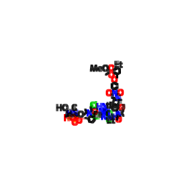 CC1COc2ccccc2N1C(=O)C(Cl)Cl.CCNc1nc(Cl)nc(NC(C)(C)C)n1.CCc1ccc(COc2ccc(-n3c(=O)cc(C(F)(F)F)n(C)c3=O)cc2)c(OC(C)C(=O)OC)c1.CCc1cccc(C)c1N(C(=O)CCl)C(C)COC.C[S+](C)C.O=C(O)CNCP(=O)([O-])O